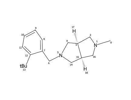 CN1C[C@@H]2CN(Cc3ccccc3C(C)(C)C)C[C@@H]2C1